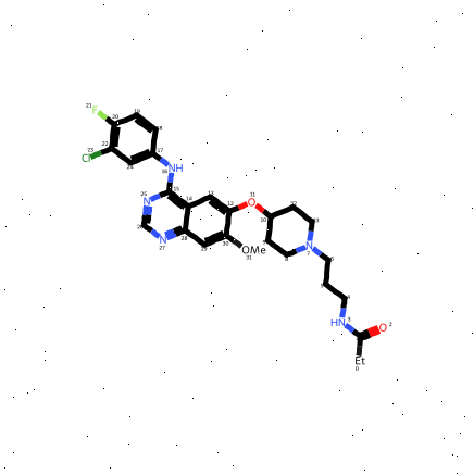 CCC(=O)NCCCN1CCC(Oc2cc3c(Nc4ccc(F)c(Cl)c4)ncnc3cc2OC)CC1